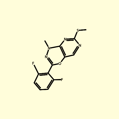 CSc1ncc2c(n1)N(C)N=C(c1c(F)cccc1F)O2